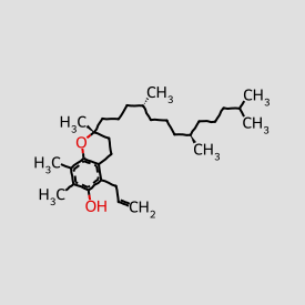 C=CCc1c(O)c(C)c(C)c2c1CC[C@@](C)(CCC[C@H](C)CCC[C@H](C)CCCC(C)C)O2